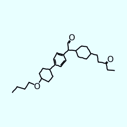 CCCCOC1CCC(c2ccc(C(C=O)C3CCC(CCC(=O)CC)CC3)cc2)CC1